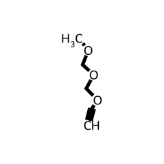 C#COCOCOC